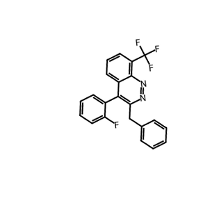 Fc1ccccc1-c1c(Cc2ccccc2)nnc2c(C(F)(F)F)cccc12